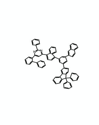 c1ccc(-c2nc(-c3ccccc3-c3ccccc3)cc(-c3ccc(-c4cc(-c5ccc6c(c5)-c5ccccc5C6(c5ccccc5)c5ccccc5)cc(-c5ccc6ccccc6c5)c4)c4ccccc34)n2)cc1